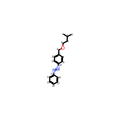 CC(C)CCOCc1ccc(/N=N/c2ccccc2)cc1